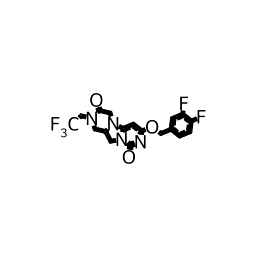 O=C1CN2c3cc(OCc4ccc(F)c(F)c4)nc(=O)n3CC2CN1CC(F)(F)F